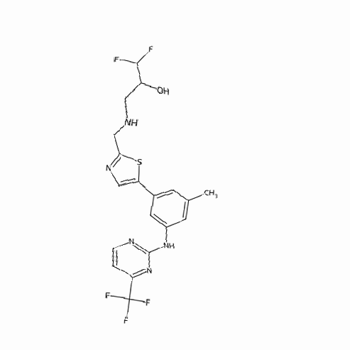 Cc1cc(Nc2nccc(C(F)(F)F)n2)cc(-c2cnc(CNCC(O)C(F)F)s2)c1